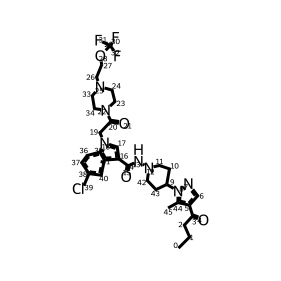 CCCC(=O)c1cnn(C2CCN(NC(=O)c3cn(CC(=O)N4CCN(CCOC(F)(F)F)CC4)c4ccc(Cl)cc34)CC2)c1C